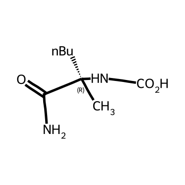 CCCC[C@@](C)(NC(=O)O)C(N)=O